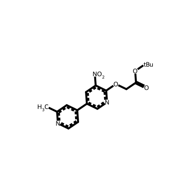 Cc1cc(-c2cnc(OCC(=O)OC(C)(C)C)c([N+](=O)[O-])c2)ccn1